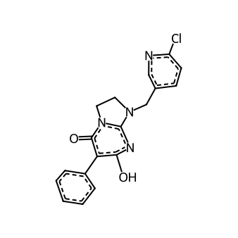 O=c1c(-c2ccccc2)c(O)nc2n1CCN2Cc1ccc(Cl)nc1